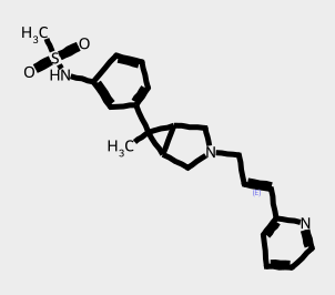 CC1(c2cccc(NS(C)(=O)=O)c2)C2CN(C/C=C/c3ccccn3)CC21